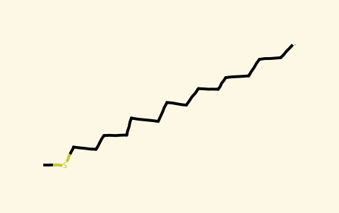 [CH2]CCCCCCCCCCCCCCSC